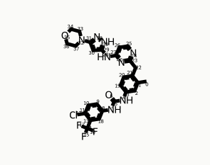 Cc1cc(NC(=O)Nc2ccc(Cl)c(C(F)(F)F)c2)ccc1Cc1nccc(Nc2cc(N3CCOCC3)n[nH]2)n1